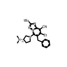 CCc1c(Cc2ccccc2)c(N2CC[C@H](N(C)C)C2)n2nc(C(C)(C)C)nc2c1C#N